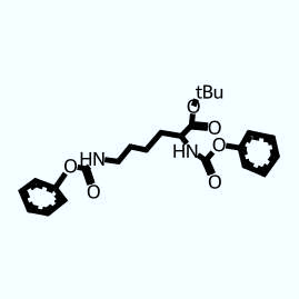 CC(C)(C)OC(=O)C(CCCCNC(=O)Oc1ccccc1)NC(=O)Oc1ccccc1